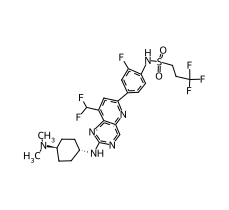 CN(C)[C@H]1CC[C@H](Nc2ncc3nc(-c4ccc(NS(=O)(=O)CCC(F)(F)F)c(F)c4)cc(C(F)F)c3n2)CC1